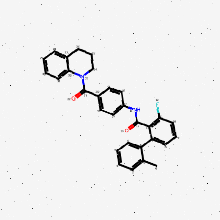 Cc1ccccc1-c1cccc(F)c1C(=O)Nc1ccc(C(=O)N2CCCc3ccccc32)cc1